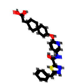 O=C(O)CC1CCC2(CC1)CCC(Oc1ccc(NC(=O)c3nnc(Cc4ccccc4)s3)cn1)CC2